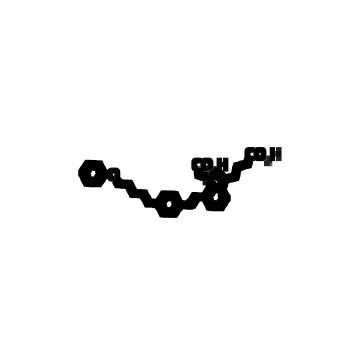 O=C(O)CCCc1cn(CC(=O)O)c2c(/C=C/c3ccc(CCCCCOc4ccccc4)cc3)cccc12